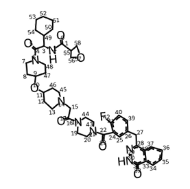 O=C(N[C@@H](C(=O)N1CCC(OC2CCN(CC(=O)N3CCN(C(=O)c4cc(Cc5n[nH]c(=O)c6ccccc56)ccc4F)CC3)CC2)CC1)C1CCCCC1)C1COC1